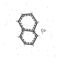 [Co].c1ccc2ccccc2c1